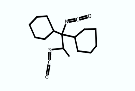 CC(N=C=O)C(N=C=O)(C1CCCCC1)C1CCCCC1